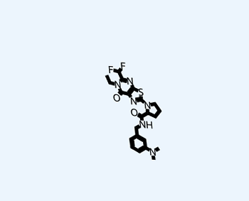 CCn1c(C(F)F)nc2sc(N3CCCC3C(=O)NCc3cccc(N(C)C)c3)nc2c1=O